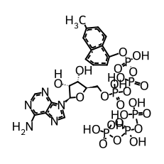 Cc1ccc2c(OP(=O)(O)OP(=O)(O)OP(=O)(O)OC[C@H]3O[C@@H](n4cnc5c(N)ncnc54)[C@H](O)[C@@H]3O)cccc2c1.O=P(O)(O)OP(=O)(O)OP(=O)(O)O